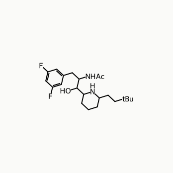 CC(=O)NC(Cc1cc(F)cc(F)c1)C(O)C1CCCC(CCC(C)(C)C)N1